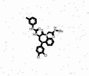 Cc1cccc(NC(=O)NC2CC(c3ccc(Cl)c(Cl)c3)c3ccccc3N(CC(=O)NC(C)(C)C)C2=O)c1